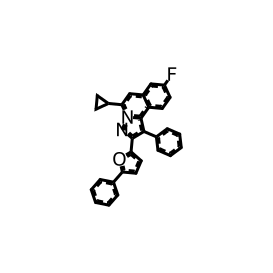 Fc1ccc2c(c1)cc(C1CC1)n1nc(-c3ccc(-c4ccccc4)o3)c(-c3ccccc3)c21